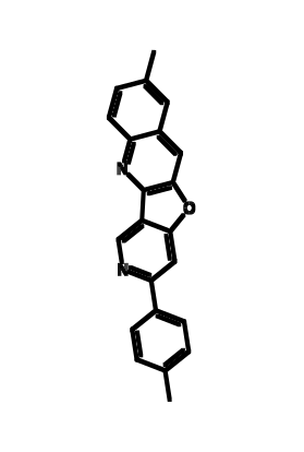 Cc1ccc(-c2cc3oc4cc5cc(C)ccc5nc4c3cn2)cc1